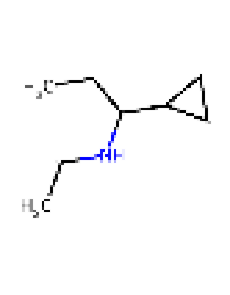 C[CH]NC(CC)C1CC1